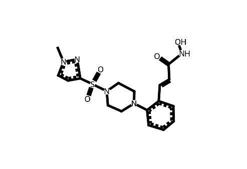 Cn1ccc(S(=O)(=O)N2CCN(c3ccccc3/C=C/C(=O)NO)CC2)n1